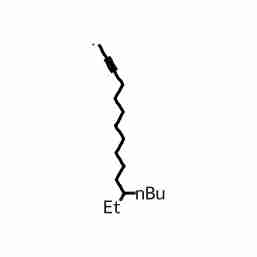 [CH2]C#CCCCCCCCCC(CC)CCC[CH2]